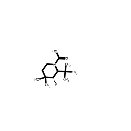 CC(C)(C)C1[C@H](F)C(C)(O)CCN1C(=O)O